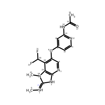 C/[SH]=c1/[nH]c2ncc(Oc3ccnc(NC(C)=O)c3)c(C(F)F)c2n1C